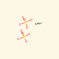 O=P([O-])([O-])[O-].O=P([O-])([O-])[O-].[Fe+2].[Ti+4]